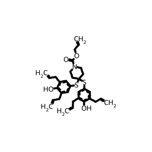 C=CCOC(=O)N1CCC(Sc2cc(CC=C)c(O)c(CC=C)c2)(Sc2cc(CC=C)c(O)c(CC=C)c2)CC1